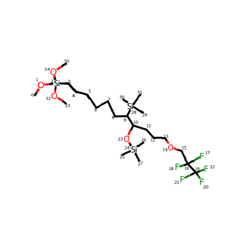 CO[Si](CCCCCCC(C(CCCOCC(F)(F)C(F)(F)F)O[Si](C)(C)C)[Si](C)(C)C)(OC)OC